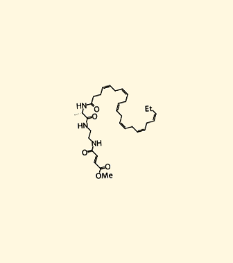 CC/C=C\C/C=C\C/C=C\C/C=C\C/C=C\C/C=C\CCC(=O)N[C@@H](C)C(=O)NCCNC(=O)C=CC(=O)OC